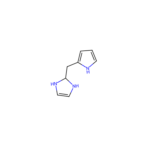 C1=CNC(Cc2ccc[nH]2)N1